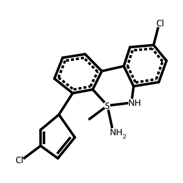 CS1(N)Nc2ccc(Cl)cc2-c2cccc(C3C=CC(Cl)=C3)c21